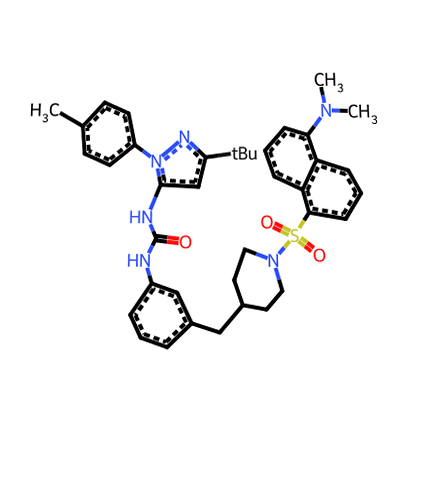 Cc1ccc(-n2nc(C(C)(C)C)cc2NC(=O)Nc2cccc(CC3CCN(S(=O)(=O)c4cccc5c(N(C)C)cccc45)CC3)c2)cc1